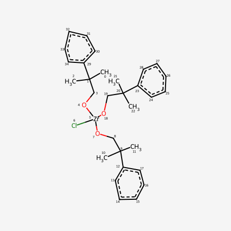 CC(C)(C[O][Zr]([Cl])([O]CC(C)(C)c1ccccc1)[O]CC(C)(C)c1ccccc1)c1ccccc1